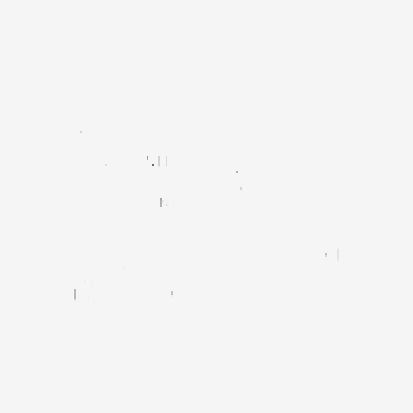 O=C1CC(C(=O)O)N(c2ccc(Cl)cn2)N1